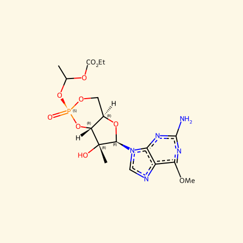 CCOC(=O)OC(C)O[P@@]1(=O)OC[C@H]2O[C@@H](n3cnc4c(OC)nc(N)nc43)[C@](C)(O)[C@@H]2O1